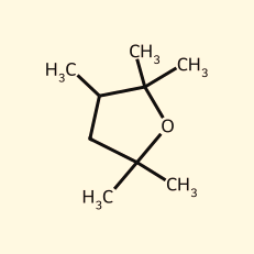 CC1CC(C)(C)OC1(C)C